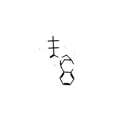 CC(C)(C(=O)N1C[C@@H]2C[C@H]1c1ccccc1O2)C(F)(F)F